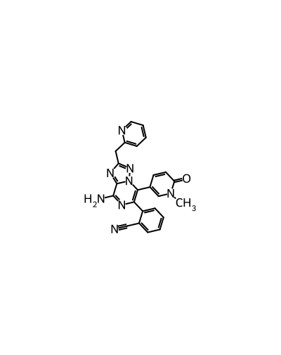 Cn1cc(-c2c(-c3ccccc3C#N)nc(N)c3nc(Cc4ccccn4)nn23)ccc1=O